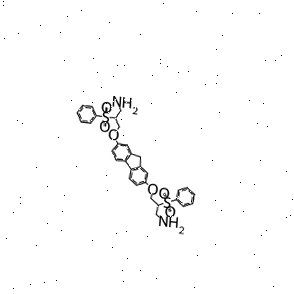 NCC(COc1ccc2c(c1)Cc1cc(OCC(CN)S(=O)(=O)c3ccccc3)ccc1-2)S(=O)(=O)c1ccccc1